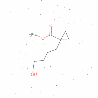 CC(C)(C)OC(=O)C1(CCCCO)CC1